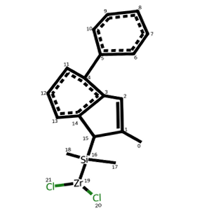 CC1=Cc2c(-c3ccccc3)cccc2C1[Si](C)(C)[Zr]([Cl])[Cl]